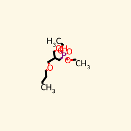 CCCCOCC(CO)CP(=O)(OCC)OCC